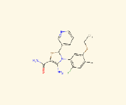 Cc1cc(F)c(N2C(N)=C(C(N)=O)SC2c2cccnc2)cc1SCC(F)(F)F